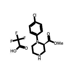 COC(=O)[C@H]1CNCCN1c1ccc(Cl)cc1.O=C(O)C(F)(F)F